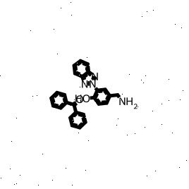 NCc1ccc(O)c(-n2nc3ccccc3n2)c1.O=C(c1ccccc1)c1ccccc1